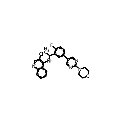 CC(Nc1c(Cl)cnc2ccccc12)c1cc(-c2cnc(N3CCOCC3)nc2)ccc1F